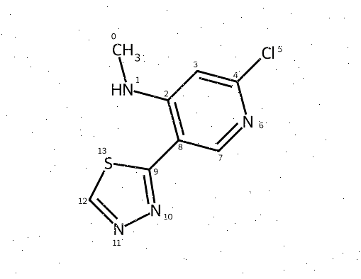 CNc1cc(Cl)ncc1-c1nncs1